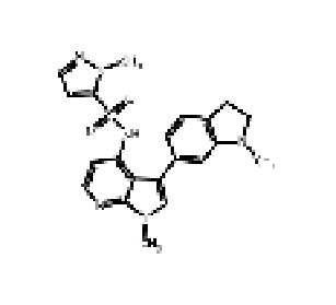 CN1CCc2ccc(-c3cn(C)c4nccc(NS(=O)(=O)c5ccnn5C)c34)cc21